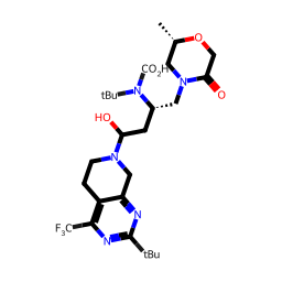 C[C@H]1CN(C[C@H](CC(O)N2CCc3c(nc(C(C)(C)C)nc3C(F)(F)F)C2)N(C(=O)O)C(C)(C)C)C(=O)CO1